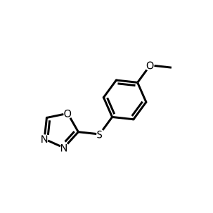 COc1ccc(Sc2nnco2)cc1